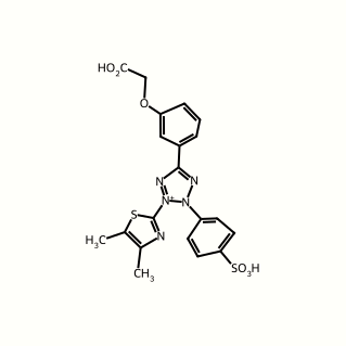 Cc1nc(-[n+]2nc(-c3cccc(OCC(=O)O)c3)nn2-c2ccc(S(=O)(=O)O)cc2)sc1C